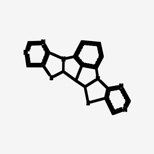 c1cc2c3c(c1)N1c4ncncc4SC1C3C1Sc3cncnc3N21